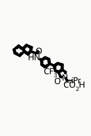 CC(C)[C@@H](C(=O)O)N1Cc2ccc(-c3ccc(NC(=O)c4ccc5ccccc5c4)cc3C(F)(F)F)cc2C1=O